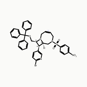 O=[N+]([O-])c1ccc(S(=O)(=O)N2C/C=C\CN3[C@H](COC(c4ccccc4)(c4ccccc4)c4ccccc4)[C@H](c4ccc(Br)nc4)[C@@H]3C2)cc1